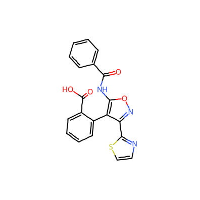 O=C(Nc1onc(-c2nccs2)c1-c1ccccc1C(=O)O)c1ccccc1